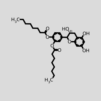 CCCCCCCC(=O)Oc1ccc(C2Oc3cc(O)cc(O)c3C[C@H]2O)cc1OC(=O)CCCCCCC